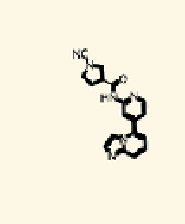 N#CN1CC[C@H](C(=O)Nc2cc(-c3cccc4nccn34)ccn2)C1